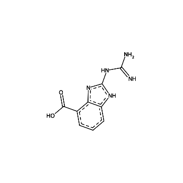 N=C(N)Nc1nc2c(C(=O)O)cccc2[nH]1